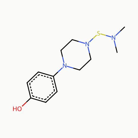 CN(C)SN1CCN(c2ccc(O)cc2)CC1